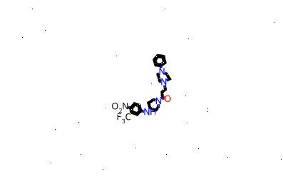 O=C(CCN1CCN(c2ccccc2)CC1)N1CCC(Nc2ccc([N+](=O)[O-])c(C(F)(F)F)c2)CC1